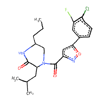 CCCC1CN(C(=O)c2cc(-c3ccc(Cl)c(F)c3)on2)C(CC(C)C)C(=O)N1